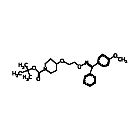 COc1ccc(/C(=N/OCCOC2CCN(C(=O)OC(C)(C)C)CC2)c2ccccc2)cc1